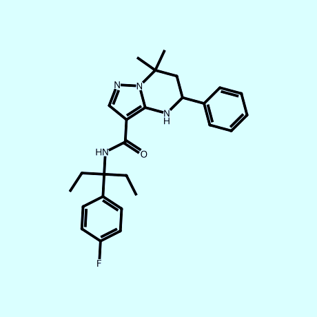 CCC(CC)(NC(=O)c1cnn2c1NC(c1ccccc1)CC2(C)C)c1ccc(F)cc1